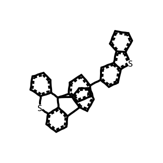 c1ccc2c(c1)Sc1cccc3c1C2(c1ccc(-c2ccc4sc5ccccc5c4c2)cc1)c1ccccc1-3